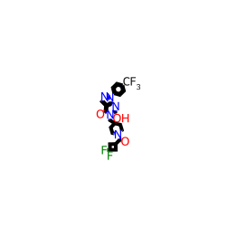 O=C(C1CC(F)(F)C1)N1CCC(O)(Cn2cnc3c(cnn3-c3ccc(C(F)(F)F)cc3)c2=O)CC1